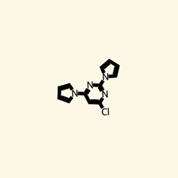 Clc1cc(-n2cccc2)nc(-n2cccc2)n1